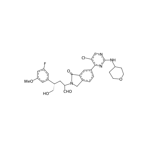 COc1cc(F)cc([C@@H](CO)CC(C=O)N2Cc3ccc(-c4nc(NC5CCOCC5)ncc4Cl)cc3C2=O)c1